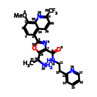 COc1ccc(-c2nc(C(=O)NCCc3ccccn3)c([C@H](C)N)o2)c2ccc(C(F)(F)F)nc12